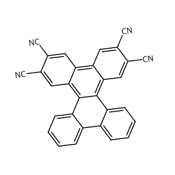 N#Cc1cc2c3cc(C#N)c(C#N)cc3c3c4ccccc4c4ccccc4c3c2cc1C#N